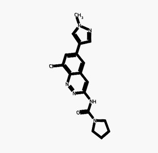 Cn1cc(-c2cc(Cl)c3nnc(NC(=O)N4CCCC4)cc3c2)cn1